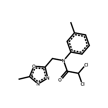 Cc1cccc(N(Cc2nnc(C)o2)C(=O)C(Cl)Cl)c1